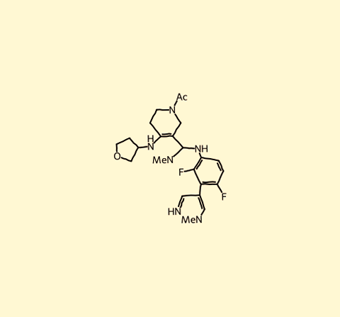 CN/C=C(\C=N)c1c(F)ccc(NC(NC)C2=C(NC3CCOC3)CCN(C(C)=O)C2)c1F